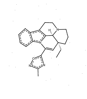 CC[C@@]12C=C(c3nc(C)no3)n3c4c(c5ccccc53)CCN(CCC1)[C@H]42